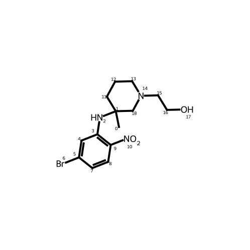 CC1(Nc2cc(Br)ccc2[N+](=O)[O-])CCCN(CCO)C1